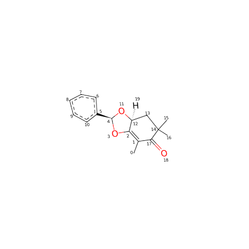 CC1=C2O[C@@H](c3ccccc3)O[C@H]2CC(C)(C)C1=O